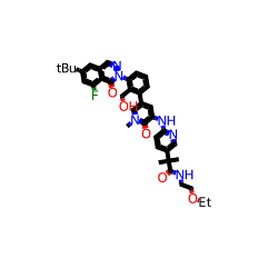 CCOCCNC(=O)C(C)(C)c1ccc(Nc2cc(-c3cccc(-n4ncc5cc(C(C)(C)C)cc(F)c5c4=O)c3CO)cn(C)c2=O)nc1